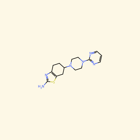 Nc1nc2c(s1)CC(N1CCN(c3ncccn3)CC1)CC2